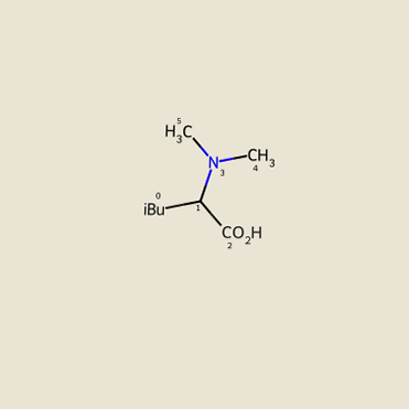 CCC(C)C(C(=O)O)N(C)C